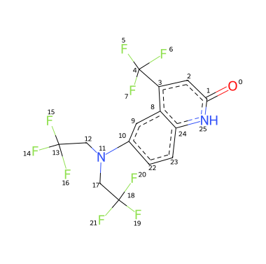 O=c1cc(C(F)(F)F)c2cc(N(CC(F)(F)F)CC(F)(F)F)ccc2[nH]1